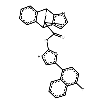 CC1(C(=O)Nc2nc(-c3ccc(F)c4ccccc34)c[nH]2)CC2c3ccccc3C1n1ccnc12